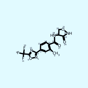 Cc1cc(-c2noc(C(F)(F)F)n2)ccc1C(=O)NC1CONC1=O